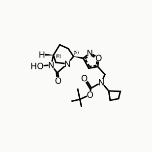 CC(C)(C)OC(=O)N(Cc1cc([C@@H]2CC[C@@H]3CN2C(=O)N3O)no1)C1CCC1